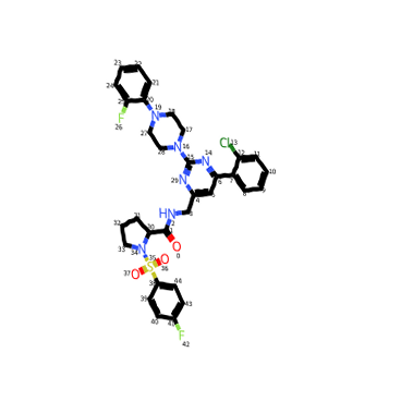 O=C(NCc1cc(-c2ccccc2Cl)nc(N2CCN(c3ccccc3F)CC2)n1)C1CCCN1S(=O)(=O)c1ccc(F)cc1